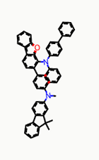 CN(c1ccc(-c2ccc3c(oc4ccccc43)c2N(c2ccccc2)c2ccc(-c3ccccc3)cc2)cc1)c1ccc2c(c1)C(C)(C)c1ccccc1-2